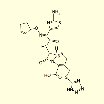 Nc1nc(C(=NOC2C=CCC2)C(=O)NC2C(=O)N3C(C(=O)O)=C(CSc4nnn[nH]4)CS[C@@H]23)cs1